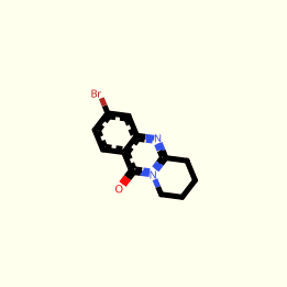 O=c1c2ccc(Br)cc2nc2n1CCCC2